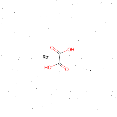 O=C(O)C(=O)O.[Rb]